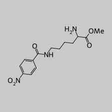 COC(=O)C(N)CCCCNC(=O)c1ccc([N+](=O)[O-])cc1